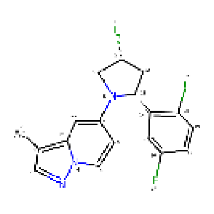 CC(=O)c1cnn2ccc(N3C[C@H](F)C[C@@H]3c3cc(F)ccc3F)cc12